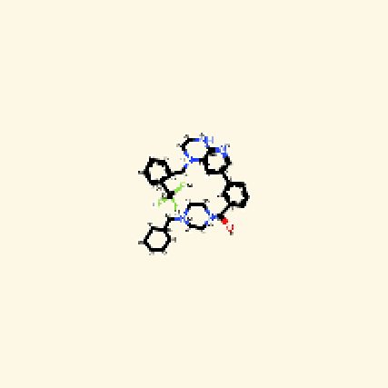 O=C(c1cccc(-c2cnc3c(c2)N(Cc2ccccc2C(F)(F)F)CCN3)c1)N1CCN(CC2CCCCC2)CC1